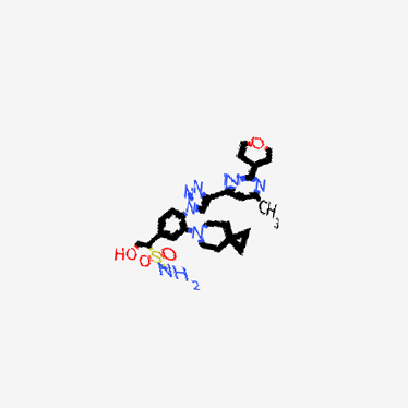 Cc1cc(-c2cn(-c3ccc(C(CO)S(N)(=O)=O)cc3N3CCC4(CC3)CC4)nn2)nc(C2=CCOCC2)n1